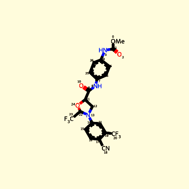 COC(=O)Nc1ccc(NC(=O)C2CN(c3ccc(C#N)c(C(F)(F)F)c3)C(C(F)(F)F)O2)cc1